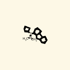 C[Si](C)=[Ti]([C]1=CC=CC1)[c]1cccc2c1Cc1ccccc1-2